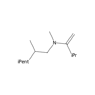 C=C(C(C)C)N(C)CC(C)C(C)CCC